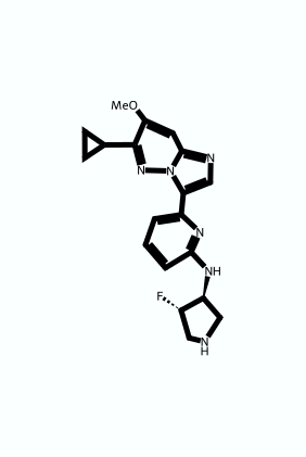 COc1cc2ncc(-c3cccc(N[C@H]4CNC[C@@H]4F)n3)n2nc1C1CC1